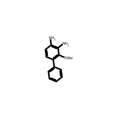 COc1c(-c2ccccc2)ccc(N)c1N